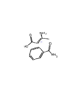 C/C(N)=C/C(=O)O.NC(=O)c1ccccc1